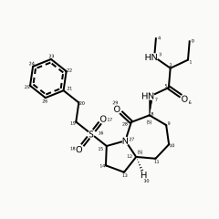 CCC(NC)C(=O)N[C@H]1CCC[C@H]2CCC(S(=O)(=O)CCc3ccccc3)N2C1=O